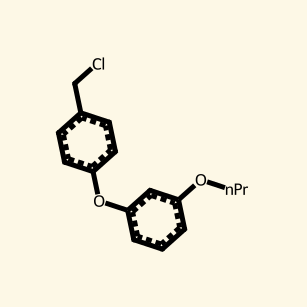 CCCOc1cccc(Oc2ccc(CCl)cc2)c1